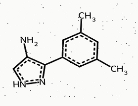 Cc1cc(C)cc(-c2n[nH]cc2N)c1